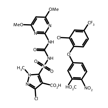 COc1cc(OC)nc(NC(=O)NS(=O)(=O)c2c(C(=O)O)c(Cl)nn2C)n1.O=C(O)c1cc(Oc2ccc(C(F)(F)F)cc2Cl)ccc1[N+](=O)[O-]